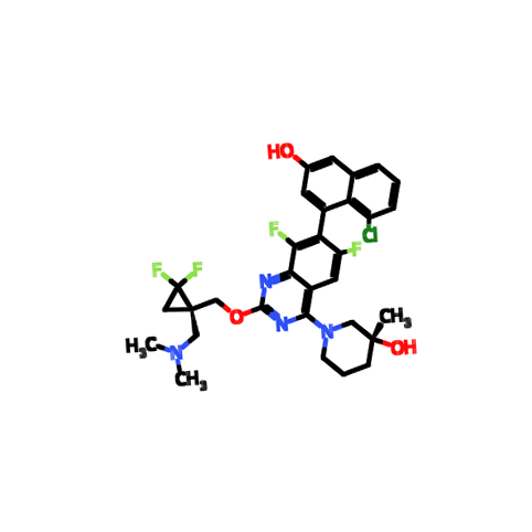 CN(C)C[C@@]1(COc2nc(N3CCC[C@@](C)(O)C3)c3cc(F)c(-c4cc(O)cc5cccc(Cl)c45)c(F)c3n2)CC1(F)F